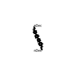 CCCCCCCCCCCCOc1ccc(-c2ccc(-c3ccc(-c4ccc(OCCCCCCCCCCCC)cc4)cc3)cc2)cc1